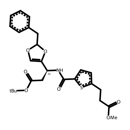 COC(=O)CCc1ccc(C(=O)N[C@@H](CC(=O)OC(C)(C)C)C2=COC(Cc3ccccc3)O2)s1